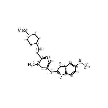 CSN1CCC(NCC(=O)N(C)CC(=O)Nc2nc3ccc(OC(F)(F)F)cc3s2)CC1